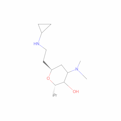 CC(C)[C@@H]1O[C@@H](CCNC2CC2)CC(N(C)C)C1O